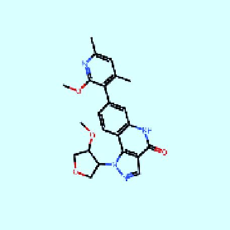 COc1nc(C)cc(C)c1-c1ccc2c(c1)[nH]c(=O)c1cnn(C3COCC3OC)c12